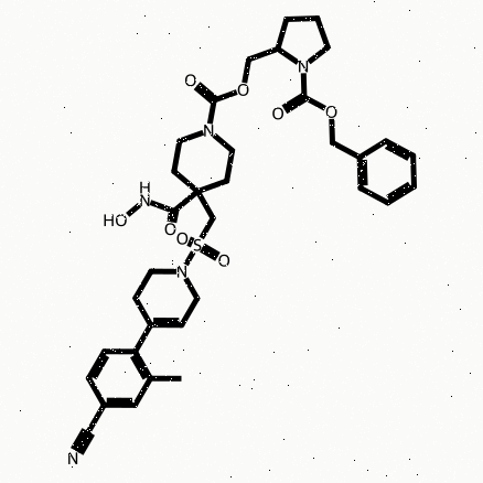 Cc1cc(C#N)ccc1C1=CCN(S(=O)(=O)CC2(C(=O)NO)CCN(C(=O)OCC3CCCN3C(=O)OCc3ccccc3)CC2)CC1